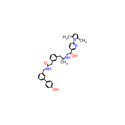 Cc1ccc(C)n1-c1ccc([C@H](O)CN[C@H](C)Cc2cccc(CC(=O)NCc3cccc(-c4ccc(O)cc4)c3)c2)cn1